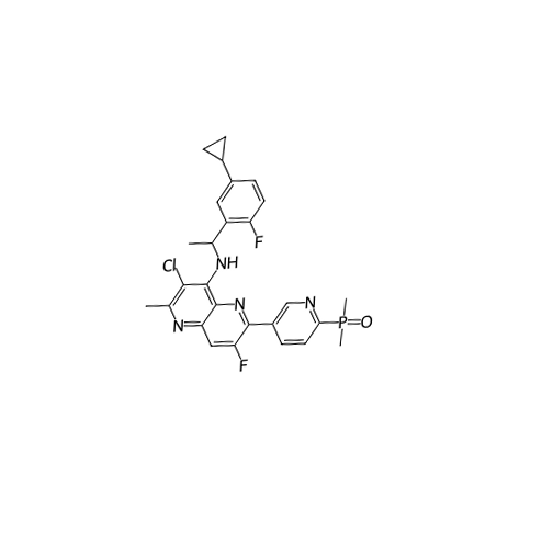 Cc1nc2cc(F)c(-c3ccc(P(C)(C)=O)nc3)nc2c(NC(C)c2cc(C3CC3)ccc2F)c1Cl